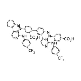 O=C(O)c1ccc(/N=N/c2ccc(-c3ccc(/N=N/c4ccccc4-c4ccnc(Nc5ccc(C(F)(F)F)cc5)n4)cc3C(=O)O)cc2-c2ccnc(Nc3ccc(C(F)(F)F)cc3)n2)cc1